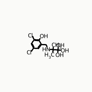 CC(C)(NCc1cc(Cl)cc(Cl)c1O)C(O)(O)O